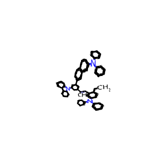 C=Cc1ccc(N(c2ccccc2)c2ccccc2)cc1/C=C(\C)c1cc(-c2ccc3ccc(N(c4ccccc4)c4ccccc4)cc3c2)cc(-n2c3ccccc3c3ccccc32)c1